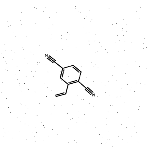 C=Cc1cc(C#N)ccc1C#N